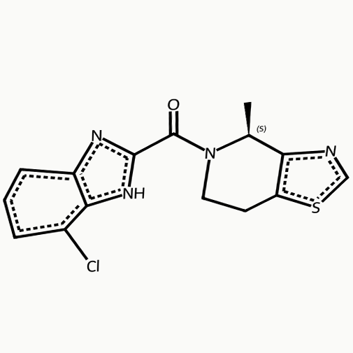 C[C@H]1c2ncsc2CCN1C(=O)c1nc2cccc(Cl)c2[nH]1